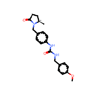 COc1ccc(CNC(=O)Nc2ccc(CN3C(=O)CC[C@H]3C)cc2)cc1